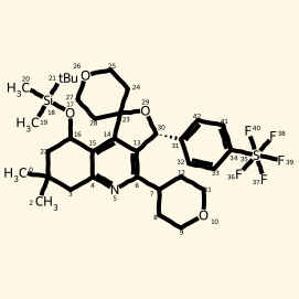 CC1(C)Cc2nc(C3CCOCC3)c3c(c2C(O[Si](C)(C)C(C)(C)C)C1)C1(CCOCC1)O[C@@H]3c1ccc(S(F)(F)(F)(F)F)cc1